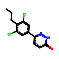 CCCc1c(Cl)cc(-c2ccc(=O)[nH]n2)cc1Cl